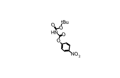 CC(C)(C)OC(=O)NC(=O)Oc1ccc([N+](=O)[O-])cc1